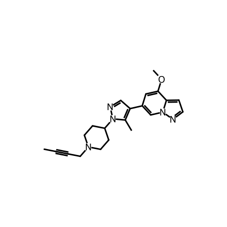 CC#CCN1CCC(n2ncc(-c3cc(OC)c4ccnn4c3)c2C)CC1